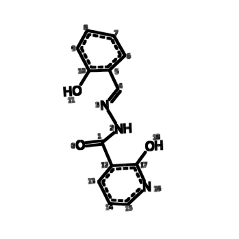 O=C(N/N=C/c1ccccc1O)c1cccnc1O